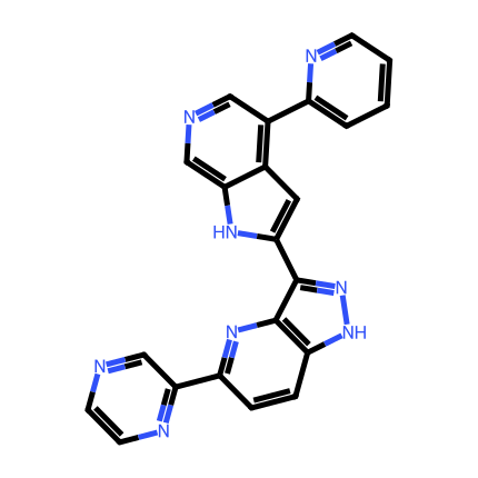 c1ccc(-c2cncc3[nH]c(-c4n[nH]c5ccc(-c6cnccn6)nc45)cc23)nc1